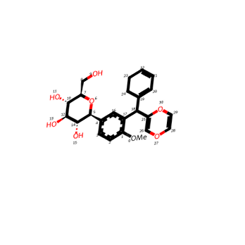 COc1ccc([C@@H]2O[C@H](CO)[C@@H](O)[C@H](O)[C@H]2O)cc1C(C1=CC=CCC1)C1=COC=CO1